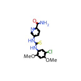 COc1cc(OC)c(NC(=S)Nc2ccc(C(N)=O)nc2)cc1Cl